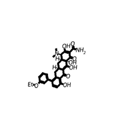 CCOc1cccc(-c2ccc(O)c3c2C[C@H]2C[C@H]4[C@@H](N(C)C)C(O)=C(C(N)=O)C(=O)[C@@]4(O)C(O)=C2C3=O)c1